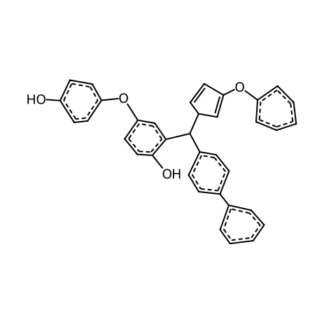 Oc1ccc(Oc2ccc(O)c(C(c3ccc(-c4ccccc4)cc3)C3C=CC(Oc4ccccc4)=C3)c2)cc1